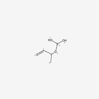 CC(C=O)OB(O)O